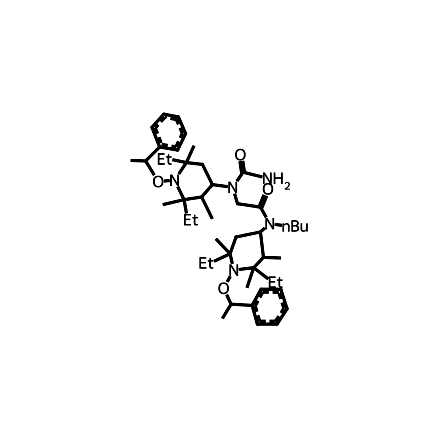 CCCCN(C(=O)CN(C(N)=O)C1CC(C)(CC)N(OC(C)c2ccccc2)C(C)(CC)C1C)C1CC(C)(CC)N(OC(C)c2ccccc2)C(C)(CC)C1C